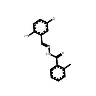 Cc1ccccc1C(=O)N/N=C/c1cc(Cl)ccc1O